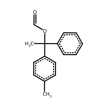 Cc1ccc(C(C)(OC=O)c2ccccc2)cc1